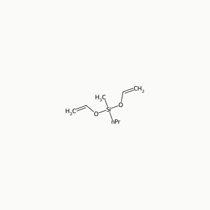 C=CO[Si](C)(CCC)OC=C